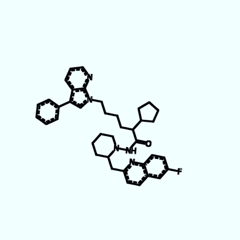 O=C(NN1CCCCC1Cc1ccc2cc(F)ccc2n1)C(CCCCn1cc(-c2ccccc2)c2cccnc21)C1CCCC1